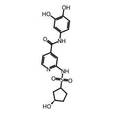 O=C(Nc1ccc(O)c(O)c1)c1ccnc(NS(=O)(=O)C2CC[C@@H](O)C2)c1